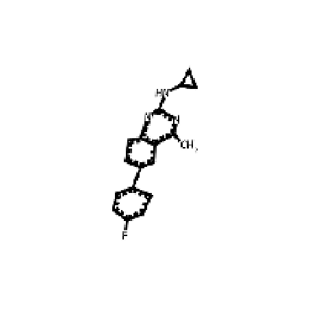 Cc1nc(NC2CC2)nc2ccc(-c3ccc(F)cc3)cc12